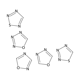 c1ncon1.c1nnco1.c1nnno1.c1nnns1.c1nnsn1